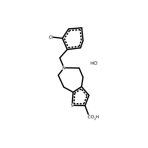 Cl.O=C(O)c1cc2c(s1)CCN(Cc1ccccc1Cl)CC2